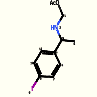 CC(=O)OCNC(C)c1ccc(I)cc1